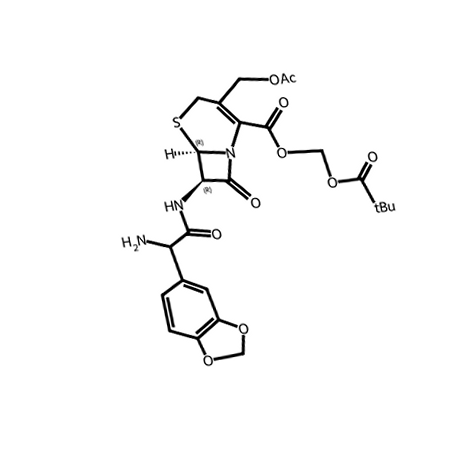 CC(=O)OCC1=C(C(=O)OCOC(=O)C(C)(C)C)N2C(=O)[C@@H](NC(=O)C(N)c3ccc4c(c3)OCO4)[C@H]2SC1